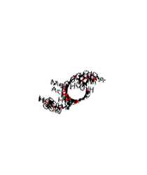 CO[C@H]1/C=C/OC(C)(C)Oc2c(C)c(O)c3c(c2C=O)C2=NC4(CCN(CC(C)C)CC4)NC2=C(NC(=O)/C(C)=C\C=C\[C@H](C)[C@H](OC(=O)CN(C)CCOC(=O)CCC(P(=O)(O)O)P(=O)(O)O)[C@@H](C)[C@@H](O)[C@@H](C)[C@H](OC(C)=O)[C@@H]1C)C3=O